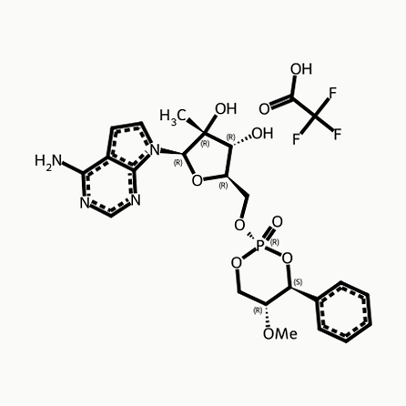 CO[C@@H]1CO[P@](=O)(OC[C@H]2O[C@@H](n3ccc4c(N)ncnc43)[C@](C)(O)[C@@H]2O)O[C@H]1c1ccccc1.O=C(O)C(F)(F)F